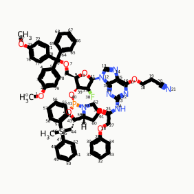 COc1ccc(C(OC[C@H]2O[C@@H](n3cnc4c(OCCC#N)nc(NC(=O)COc5ccccc5)nc43)C(F)[C@H]2O[P@]2O[C@@H](C[Si](C)(c3ccccc3)c3ccccc3)[C@H]3CCCN32)(c2ccccc2)c2ccc(OC)cc2)cc1